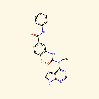 Cc1ccc(C(=O)Nc2ccccc2)cc1NC(=O)N(C)c1ncnc2[nH]ccc12